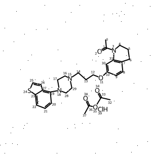 CC(=O)N1CCCc2ccc(OCCCN3CCN(c4cccc5sccc45)CC3)cc21.CC(=O)OC(C)=O.Cl